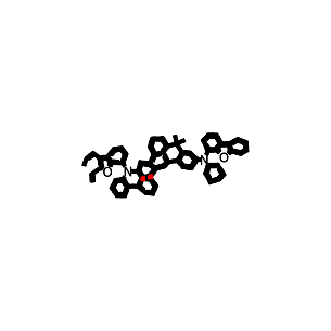 C=Cc1oc2c(N(c3ccc4cc5c6c(cccc6c4c3)C(C)(C)c3cc(N(c4ccccc4)c4cccc6c4oc4ccccc46)ccc3-5)c3ccccc3-c3ccccc3)cccc2c1/C=C\C